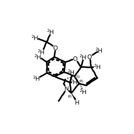 [2H]OC1([2H])C=C[C@@]2([2H])[C@@H]3N(C)CC[C@@]24c2c(c(OC([2H])([2H])[2H])c([2H])c([2H])c2C3([2H])[2H])OC14[2H]